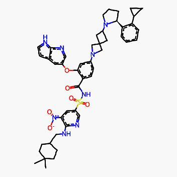 CC1(C)CCC(CNc2ncc(S(=O)(=O)NC(=O)c3ccc(N4CC5(CC(N6CCC[C@H]6c6ccccc6C6CC6)C5)C4)cc3Oc3cnc4[nH]ccc4c3)cc2[N+](=O)[O-])CC1